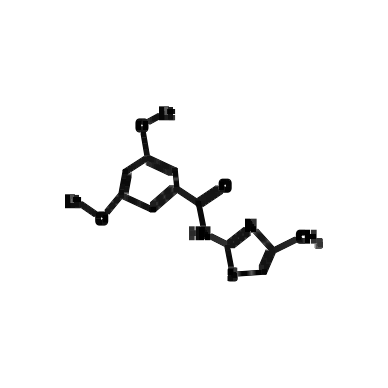 CCOc1cc(OCC)cc(C(=O)Nc2nc(C)cs2)c1